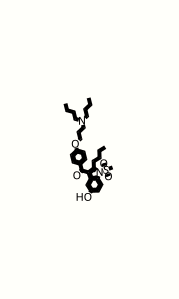 CCCCc1c(C(=O)c2ccc(OCCCN(CCCC)CCCC)cc2)c2cc(O)ccc2n1S(C)(=O)=O